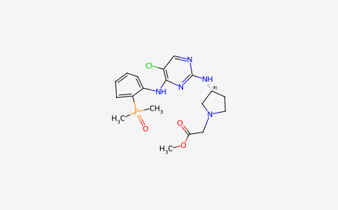 COC(=O)CN1CC[C@@H](Nc2ncc(Cl)c(Nc3ccccc3P(C)(C)=O)n2)C1